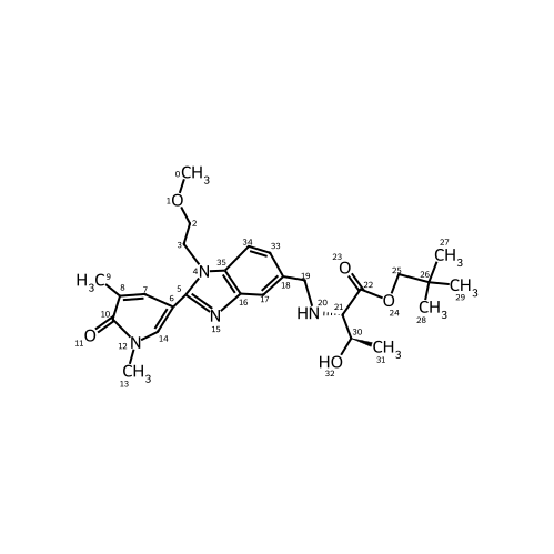 COCCn1c(-c2cc(C)c(=O)n(C)c2)nc2cc(CN[C@H](C(=O)OCC(C)(C)C)[C@@H](C)O)ccc21